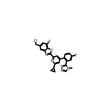 Cn1cnnc1-c1cc(F)ccc1-c1cc(-c2nc3cc(CCl)cc(F)c3o2)nc(C2CC2)c1